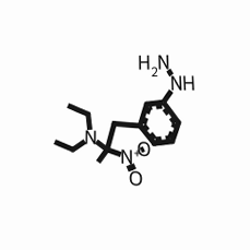 CCN(CC)C(C)(Cc1cccc(NN)c1)[N+](=O)[O-]